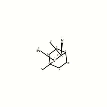 CC(C)N1[C@H](C)C2CCC1(C)CC2